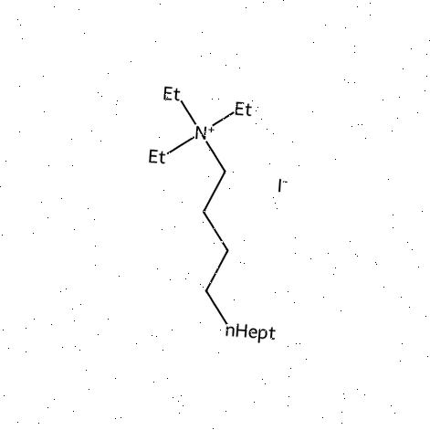 CCCCCCCCCCC[N+](CC)(CC)CC.[I-]